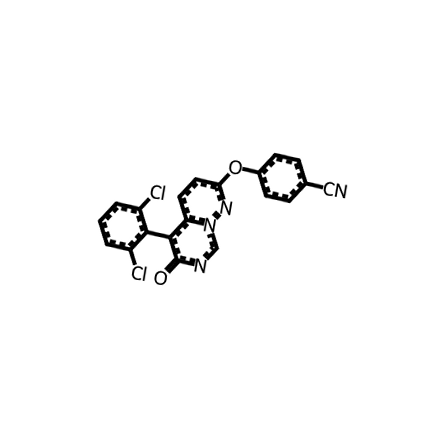 N#Cc1ccc(Oc2ccc3c(-c4c(Cl)cccc4Cl)c(=O)ncn3n2)cc1